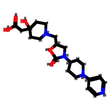 O=C(O)CC1(O)CCN(CC2CN(C3CCN(c4ccncc4)CC3)C(=O)O2)CC1